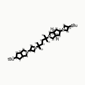 CC(C)(C)C1CC2CN(C3CN(C(C)(C)CCC(C)(C)N4C[C@H]5CC(N6CC(C(C)(C)C)C6)C[C@H]5C4)C3)CC2C1